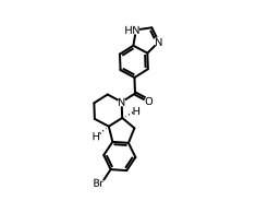 O=C(c1ccc2[nH]cnc2c1)N1CCC[C@@H]2c3cc(Br)ccc3C[C@@H]21